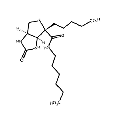 O=C(O)CCCCCNC(=O)[C@@]1(CCCCC(=O)O)SC[C@@H]2NC(=O)N[C@@H]21